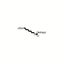 CCCCCCCCCCCCCCCCCOC(=O)OCCCCCCC